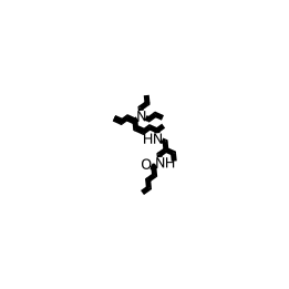 C=C/C=C(\C=C/CC(C)NCC(CC)CNC(=O)CCCC)N(CCC)CCC